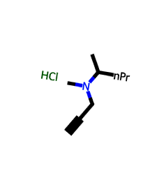 C#CCN(C)C(C)CCC.Cl